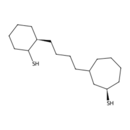 SC1CCCC[C@H]1CCCCC1CCCC[C@@H](S)C1